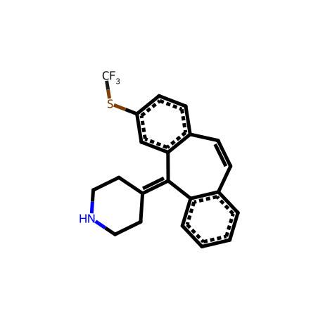 FC(F)(F)Sc1ccc2c(c1)C(=C1CCNCC1)c1ccccc1C=C2